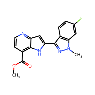 COC(=O)c1ccnc2cc(-c3nn(C)c4cc(F)ccc34)[nH]c12